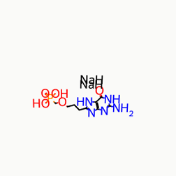 Nc1nc2nc(CCCOCP(=O)(O)O)[nH]c2c(=O)[nH]1.[NaH].[NaH]